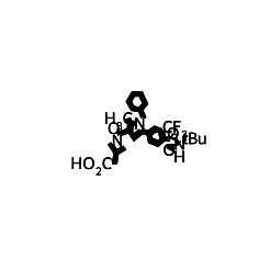 Cc1c(C(=O)N2CC(CC(=O)O)C2)cc(-c2ccc(S(=O)(=O)NC(C)(C)C)c(C(F)(F)F)c2)n1CC1CCCCC1